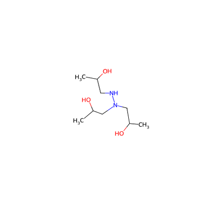 CC(O)CNN(CC(C)O)CC(C)O